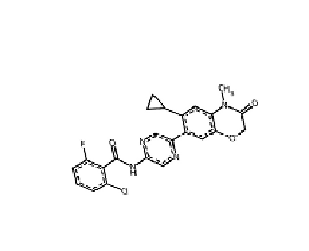 CN1C(=O)COc2cc(-c3cnc(NC(=O)c4c(F)cccc4Cl)cn3)c(C3CC3)cc21